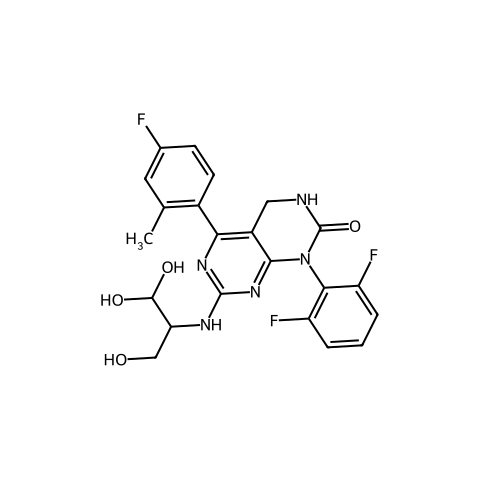 Cc1cc(F)ccc1-c1nc(NC(CO)C(O)O)nc2c1CNC(=O)N2c1c(F)cccc1F